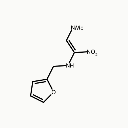 CNC=C(NCc1ccco1)[N+](=O)[O-]